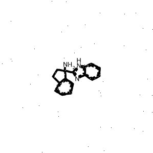 NC1(c2nc3ccccc3[nH]2)CCc2ccccc21